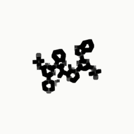 CC(c1nc2ccccc2n1-c1nc(N=S(C)(C)=O)cc(N2CCOC[C@H]2C)n1)C1OCCN(c2cc(N=S(C)(C)=O)nc(-n3cnc4ccccc43)n2)[C@@H]1C